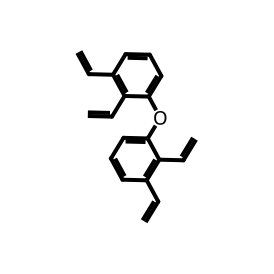 C=Cc1cccc(Oc2cccc(C=C)c2C=C)c1C=C